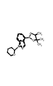 CC1OB(c2cccc3c2cnn3C2CCCCO2)OC1(C)C